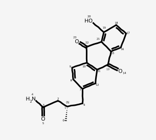 C[C@H](CC(N)=O)Cc1ccc2c(c1)C(=O)c1cccc(O)c1C2=O